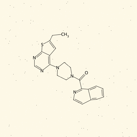 CCc1cc2c(N3CCN(C(=O)c4nccc5ccccc45)CC3)ncnc2s1